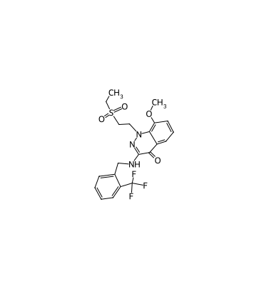 CCS(=O)(=O)CCn1nc(NCc2ccccc2C(F)(F)F)c(=O)c2cccc(OC)c21